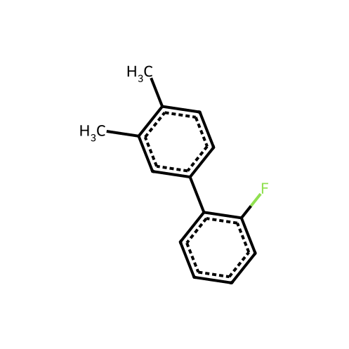 Cc1ccc(-c2ccccc2F)cc1C